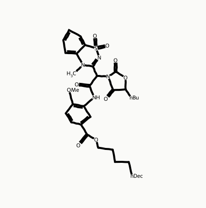 CCCCCCCCCCCCCCOC(=O)c1ccc(OC)c(NC(=O)C(C2=NS(=O)(=O)c3ccccc3N2C)N2C(=O)OC(CCCC)C2=O)c1